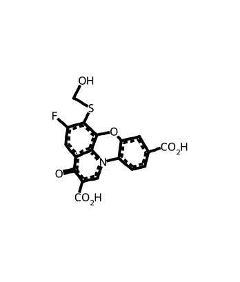 O=C(O)c1ccc2c(c1)Oc1c(SCO)c(F)cc3c(=O)c(C(=O)O)cn-2c13